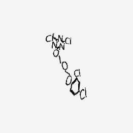 Clc1ccc(OCCOCCOc2nc(Cl)nc(Cl)n2)c(Cl)c1